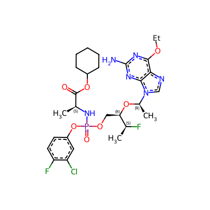 CCOc1nc(N)nc2c1ncn2[C@@H](C)O[C@H](COP(=O)(N[C@@H](C)C(=O)OC1CCCCC1)Oc1ccc(F)c(Cl)c1)[C@H](C)F